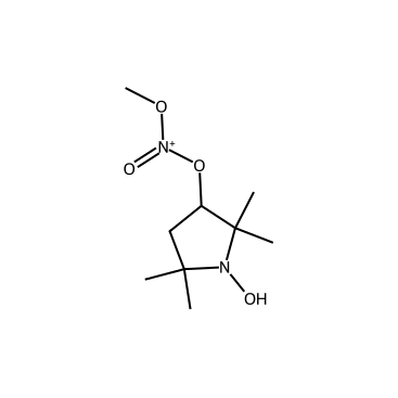 CO[N+](=O)OC1CC(C)(C)N(O)C1(C)C